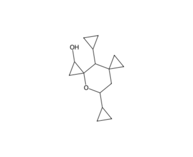 OC1CC12OC(C1CC1)CC1(CC1)C2C1CC1